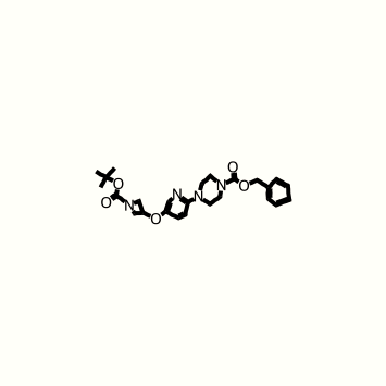 CC(C)(C)OC(=O)N1CC(Oc2ccc(N3CCN(C(=O)OCc4ccccc4)CC3)nc2)C1